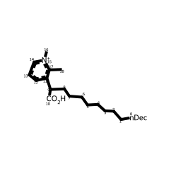 CCCCCCCCCCCCCCCCCCC(C(=O)O)c1ccc[n+](C)c1C